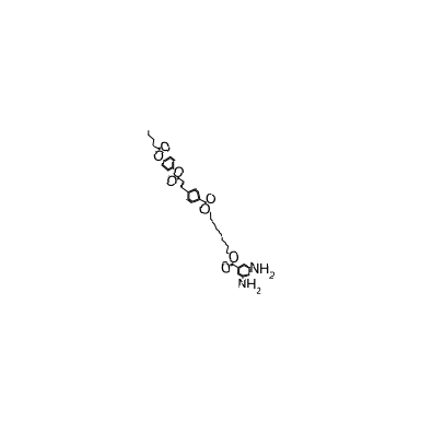 CCCCC(=O)Oc1ccc(OC(=O)/C=C/c2ccc(C(=O)OCCCCCCCCOC(=O)c3cc(N)cc(N)c3)cc2)cc1